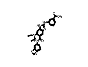 CCN(CC)c1cc2[nH]c(Nc3cccc(C(=O)O)c3)nc2cc1C(=O)Nc1ccc2ncsc2c1